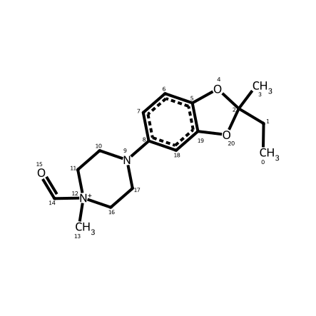 CCC1(C)Oc2ccc(N3CC[N+](C)(C=O)CC3)cc2O1